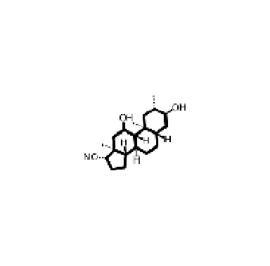 C[C@H]1C[C@@]2(C)[C@@H](CC[C@H]3[C@@H]4CC[C@H](C#N)[C@@]4(C)CC(O)[C@@H]32)C[C@@H]1O